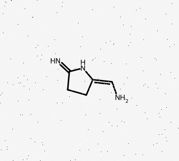 N=C1CCC(=CN)N1